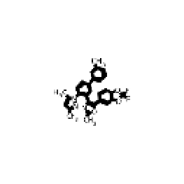 Cc1cccc(-c2ccc(-n3nc(C(F)(F)F)cc3C)c(-c3nc(C)oc3-c3ccc4c(c3)OC(F)(F)O4)c2)c1